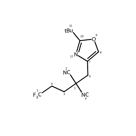 [C-]#[N+]C(C#N)(CCC(F)(F)F)Cc1coc(C(C)(C)C)n1